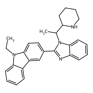 CCn1c2ccccc2c2cc(-c3nc4ccccc4n3C(C)C3CCCCN3)ccc21